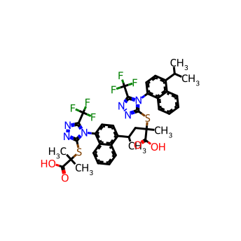 CC(C)c1ccc(-n2c(SC(C)(CC(C)c3ccc(-n4c(SC(C)(C)C(=O)O)nnc4C(F)(F)F)c4ccccc34)C(=O)O)nnc2C(F)(F)F)c2ccccc12